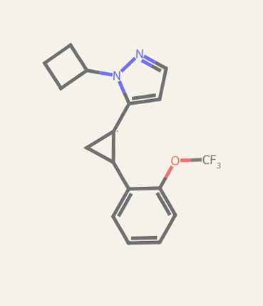 FC(F)(F)Oc1ccccc1C1C[C]1c1ccnn1C1CCC1